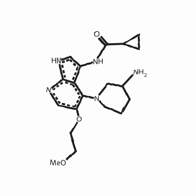 COCCOc1cnc2[nH]cc(NC(=O)C3CC3)c2c1N1CCCC(N)C1